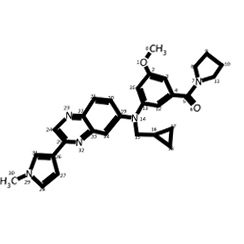 COc1cc(C(=O)N2CCCC2)cc(N(CC2CC2)c2ccc3ncc(-c4ccn(C)c4)nc3c2)c1